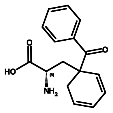 N[C@@H](CC1(C(=O)c2ccccc2)C=CC=CC1)C(=O)O